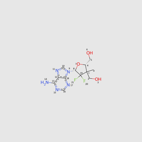 CC1(CO)[C@@H](CO)O[C@@H](n2cnc3c(N)ncnc32)C1(F)F